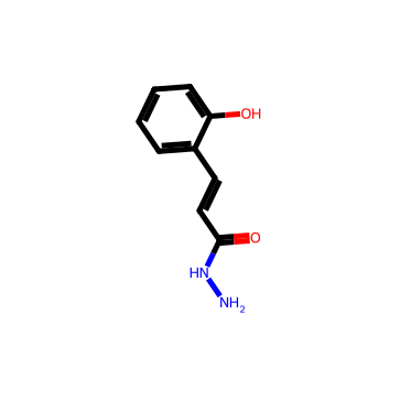 NNC(=O)C=Cc1ccccc1O